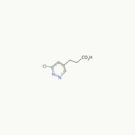 O=C(O)CCc1cnnc(Cl)c1